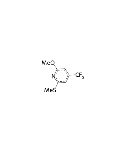 COc1cc(C(F)(F)F)cc(SC)n1